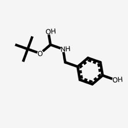 CC(C)(C)OC(O)NCc1ccc(O)cc1